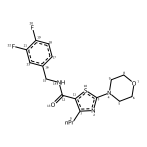 CCCc1nc(N2CCOCC2)sc1C(=O)NCc1ccc(F)c(F)c1